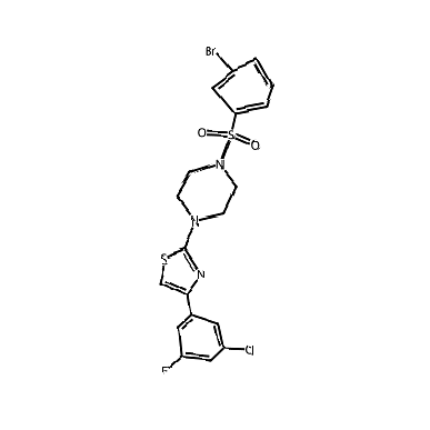 O=S(=O)(c1cccc(Br)c1)N1CCN(c2nc(-c3cc(F)cc(Cl)c3)cs2)CC1